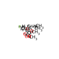 COc1cc(OC)c(C(=O)O)c(CC(=O)c2ccc(F)cc2)c1C/C=C(\C)CCC=C(C)C